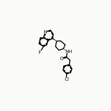 O=C(Cc1ccc(Cl)cc1)N[C@H]1CC[C@H](c2ccnc3ccc(F)cc32)CC1